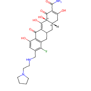 NC(=O)C1=C(O)C[C@@H]2CC3Cc4c(F)c(CNCCN5CCCC5)cc(O)c4C(=O)C3=C(O)[C@]2(O)C1=O